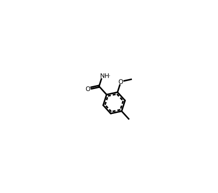 COc1cc(C)ccc1C([NH])=O